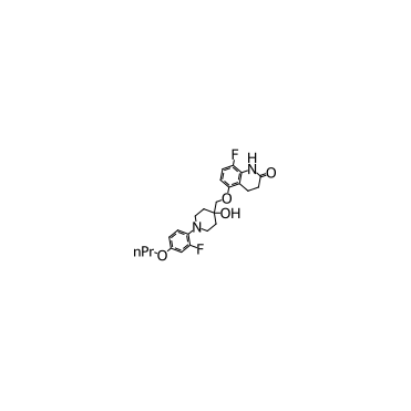 CCCOc1ccc(N2CCC(O)(COc3ccc(F)c4c3CCC(=O)N4)CC2)c(F)c1